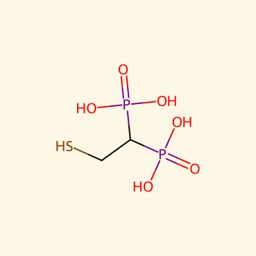 O=P(O)(O)C(CS)P(=O)(O)O